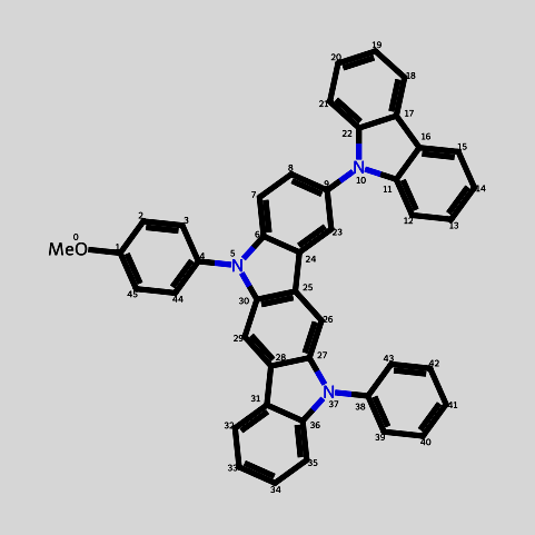 COc1ccc(-n2c3ccc(-n4c5ccccc5c5ccccc54)cc3c3cc4c(cc32)c2ccccc2n4-c2ccccc2)cc1